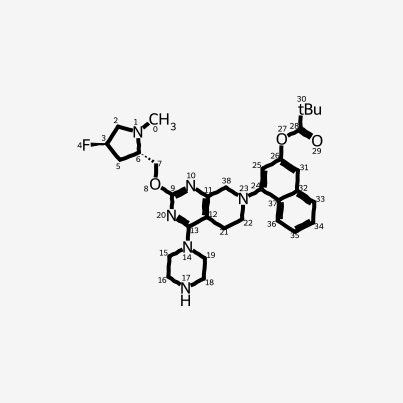 CN1C[C@H](F)C[C@H]1COc1nc2c(c(N3CCNCC3)n1)CCN(c1cc(OC(=O)C(C)(C)C)cc3ccccc13)C2